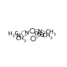 CC(C)CN(Cc1ccc(N2CCC(N(C)C)CC2)cc1)S(=O)(=O)Cc1ccccc1